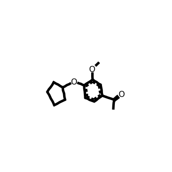 COc1cc(C(C)=O)ccc1OC1CCCC1